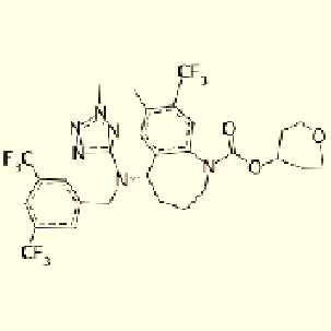 Cc1cc2c(cc1C(F)(F)F)N(C(=O)OC1CCOCC1)CCC[C@@H]2N(Cc1cc(C(F)(F)F)cc(C(F)(F)F)c1)c1nnn(C)n1